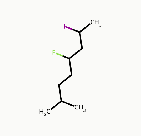 CC(C)CCC(F)CC(C)I